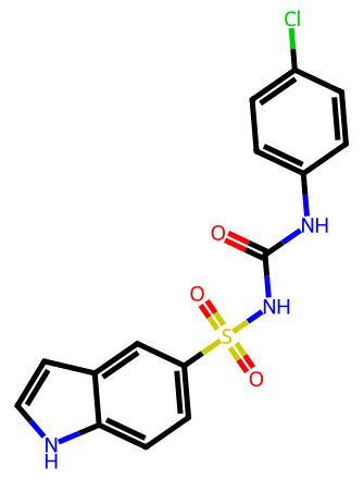 O=C(Nc1ccc(Cl)cc1)NS(=O)(=O)c1ccc2[nH]ccc2c1